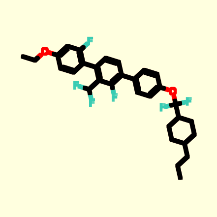 CCCC1CCC(C(F)(F)Oc2ccc(-c3ccc(-c4ccc(OCC)cc4F)c(C(F)F)c3F)cc2)CC1